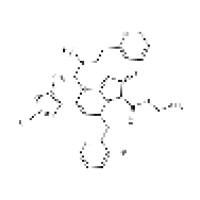 CCOC(=O)C1C(=O)C=C2N(CN(C)CCc3ccccn3)C(c3cc(C)oc3C)=CC(Cc3ccccc3F)N21